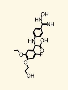 CCOc1cc([C@@H](Nc2ccc(C(=N)NO)cc2)C(=O)O)c(F)cc1OCCO